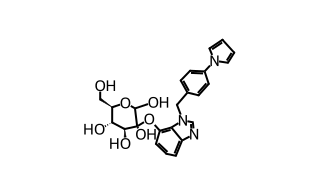 OC[C@H]1OC(O)[C@@](O)(Oc2cccc3ncn(Cc4ccc(-n5cccc5)cc4)c23)[C@@H](O)[C@@H]1O